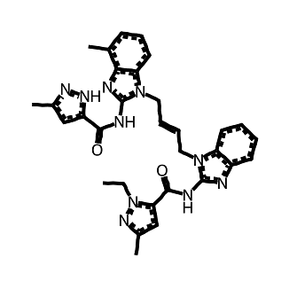 CCn1nc(C)cc1C(=O)Nc1nc2ccccc2n1C/C=C/Cn1c(NC(=O)c2cc(C)n[nH]2)nc2c(C)cccc21